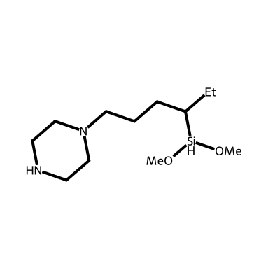 CCC(CCCN1CCNCC1)[SiH](OC)OC